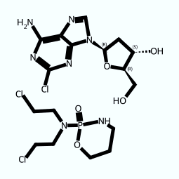 Nc1nc(Cl)nc2c1ncn2[C@H]1C[C@H](O)[C@@H](CO)O1.O=P1(N(CCCl)CCCl)NCCCO1